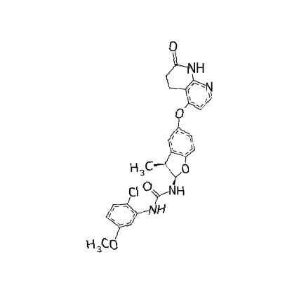 COc1ccc(Cl)c(NC(=O)N[C@@H]2Oc3ccc(Oc4ccnc5c4CCC(=O)N5)cc3[C@@H]2C)c1